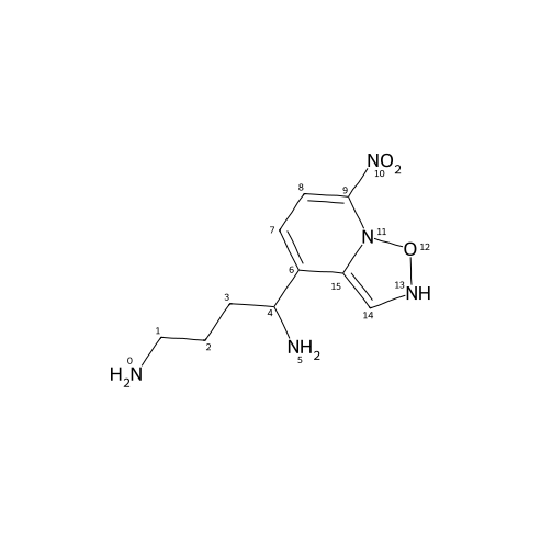 NCCCC(N)C1=CC=C([N+](=O)[O-])N2ONC=C12